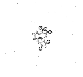 O=C1CC(=O)C(C2CC3C(=O)OC(=O)C3c3ccccc32)C1